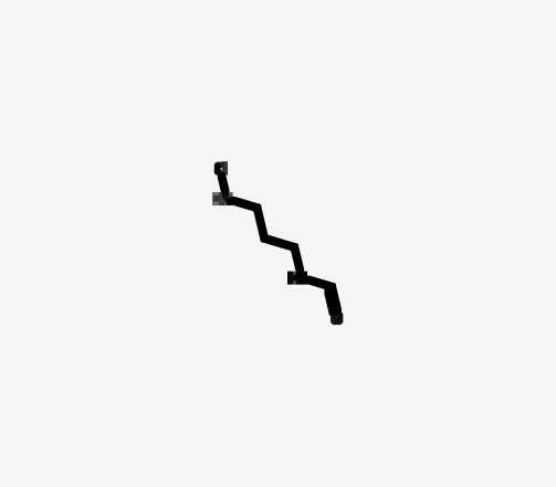 O=CNCCCNCl